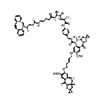 COc1cc2c(cc1OCCCCCOc1cc3c(cc1OC)C(=O)N1CC4(CC4)C[C@H]1C(O)N3C(=O)OCc1ccc(NC(=O)[C@H](C)NC(=O)[C@@H](NC(=O)CCCCNC(=O)CCC(=O)N3Cc4ccccc4C#Cc4ccccc43)C(C)C)cc1)NC[C@@H]1CC3(CC3)CN1C2=O